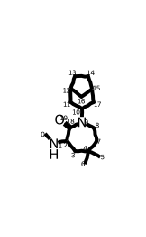 CNC1CC(C)(C)CCN(C2CC3CCC(C3)C2)C1=O